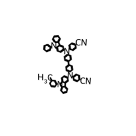 CC1C=C(n2c3ccccc3c3cc(N(c4ccc(C#N)cc4)c4ccc(-c5ccc(N(c6ccc(C#N)cc6)c6ccc7c(c6)c6ccccc6n7-c6ccccc6)cc5)cc4)ccc32)C=CC1